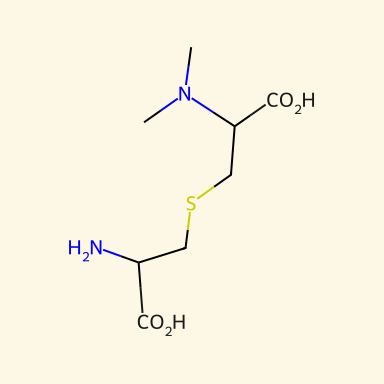 CN(C)C(CSCC(N)C(=O)O)C(=O)O